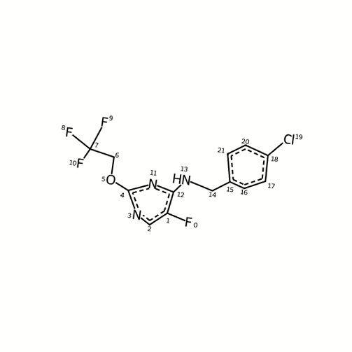 Fc1cnc(OCC(F)(F)F)nc1NCc1ccc(Cl)cc1